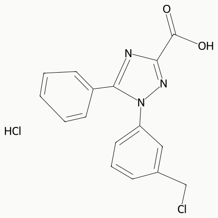 Cl.O=C(O)c1nc(-c2ccccc2)n(-c2cccc(CCl)c2)n1